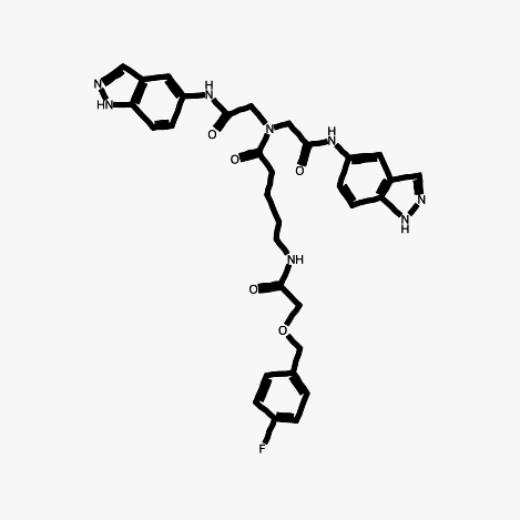 O=C(COCc1ccc(F)cc1)NCCCCC(=O)N(CC(=O)Nc1ccc2[nH]ncc2c1)CC(=O)Nc1ccc2[nH]ncc2c1